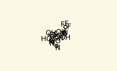 OCC1O[C@@H](S[C@@H]2O[C@H](CO)C(O)C(n3cc(-c4ccncc4)nn3)[C@H]2O)C(O)C(n2cc(-c3cc(F)c(F)c(F)c3)nn2)[C@H]1O